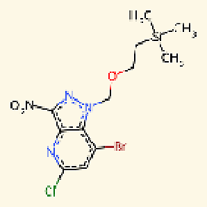 C[Si](C)(C)CCOCn1nc([N+](=O)[O-])c2nc(Cl)cc(Br)c21